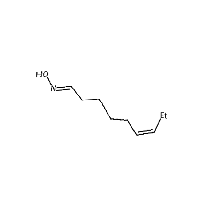 CC/C=C\CCCC/C=N/O